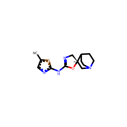 N#Cc1cnc(NC2=NC[C@@]3(CN4CCC3CC4)O2)s1